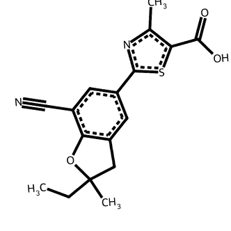 CCC1(C)Cc2cc(-c3nc(C)c(C(=O)O)s3)cc(C#N)c2O1